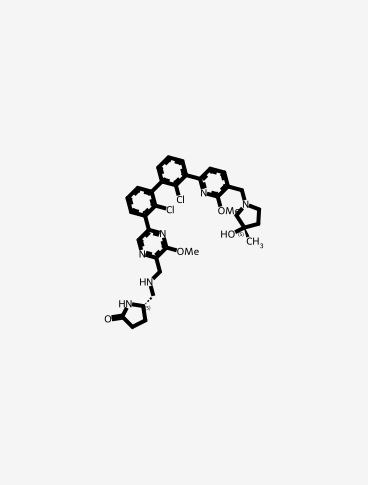 COc1nc(-c2cccc(-c3cccc(-c4cnc(CNC[C@@H]5CCC(=O)N5)c(OC)n4)c3Cl)c2Cl)ccc1CN1CC[C@](C)(O)C1